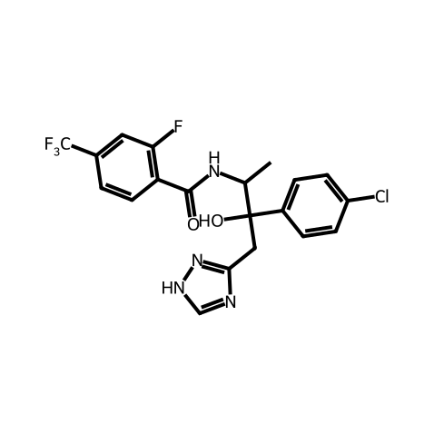 CC(NC(=O)c1ccc(C(F)(F)F)cc1F)C(O)(Cc1nc[nH]n1)c1ccc(Cl)cc1